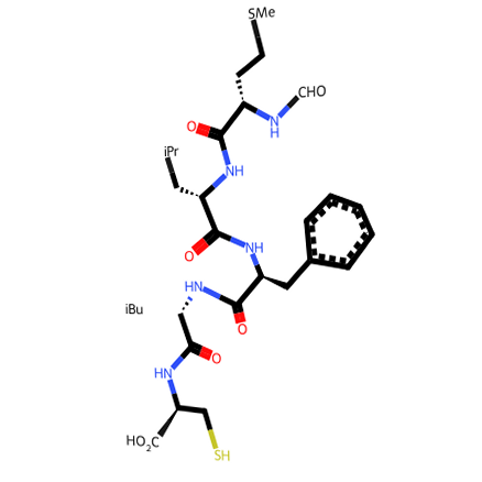 CC[C@H](C)[C@H](NC(=O)[C@H](Cc1ccccc1)NC(=O)[C@H](CC(C)C)NC(=O)[C@H](CCSC)NC=O)C(=O)N[C@@H](CS)C(=O)O